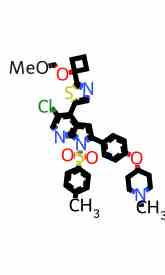 COCOC1(c2ncc(-c3c(Cl)cnc4c3cc(-c3ccc(OC5CCN(C)CC5)cc3)n4S(=O)(=O)c3ccc(C)cc3)s2)CCC1